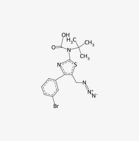 CC(C)(C)N(C(=O)O)c1nc(-c2cccc(Br)c2)c(CN=[N+]=[N-])s1